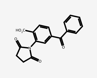 O=C(c1ccccc1)c1ccc(C(=O)O)c(N2C(=O)CCC2=O)c1